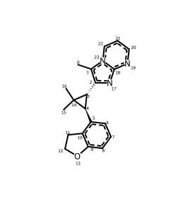 Cc1c([C@@H]2[C@@H](c3cccc4c3CCO4)C2(C)C)nc2ncccn12